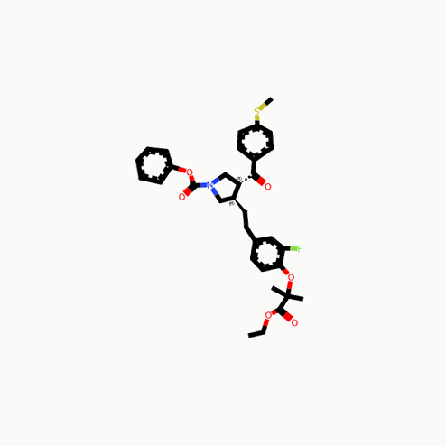 CCOC(=O)C(C)(C)Oc1ccc(CC[C@H]2CN(C(=O)Oc3ccccc3)C[C@@H]2C(=O)c2ccc(SC)cc2)cc1F